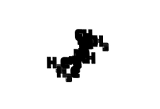 CCCCCCC(CCCC)c1ccc2[nH]c(C(CCCCCC)CCCCCC)nc2c1